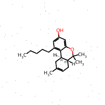 CCCCCc1cc(O)cc2c1[C@@H]1CC(C)=CC[C@H]1C(C)(C)O2